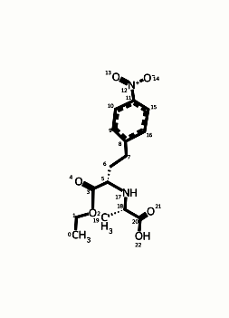 CCOC(=O)[C@H](CCc1ccc([N+](=O)[O-])cc1)N[C@@H](C)C(=O)O